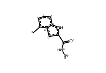 Cc1cccc2[nH]c(C(=O)NC(C)C)cc12